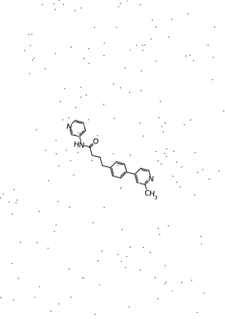 Cc1cc(-c2ccc(CCCC(=O)Nc3cccnc3)cc2)ccn1